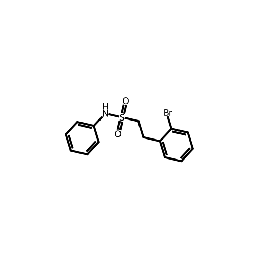 O=S(=O)(CCc1ccccc1Br)Nc1ccccc1